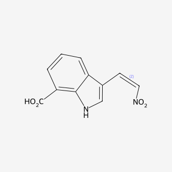 O=C(O)c1cccc2c(/C=C\[N+](=O)[O-])c[nH]c12